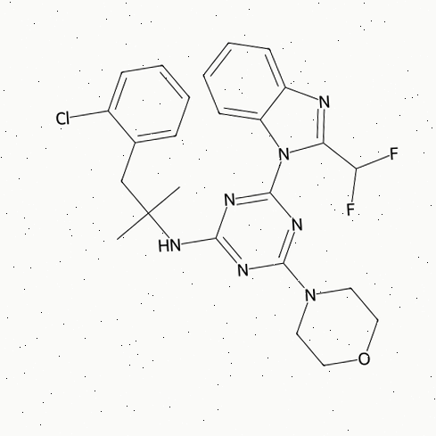 CC(C)(Cc1ccccc1Cl)Nc1nc(N2CCOCC2)nc(-n2c(C(F)F)nc3ccccc32)n1